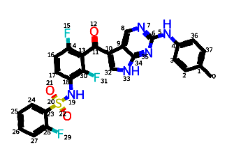 Cc1ccc(Nc2ncc3c(C(=O)c4c(F)ccc(NS(=O)(=O)c5ccccc5F)c4F)c[nH]c3n2)cc1